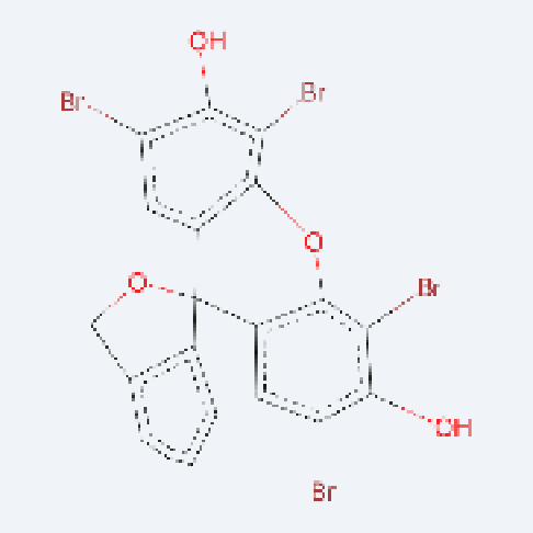 Oc1c(Br)cc2c(c1Br)Oc1c(cc(Br)c(O)c1Br)C21OCc2ccccc21